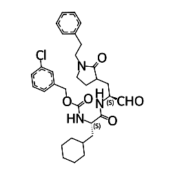 O=C[C@H](CC1CCN(CCc2ccccc2)C1=O)NC(=O)[C@H](CC1CCCCC1)NC(=O)OCc1cccc(Cl)c1